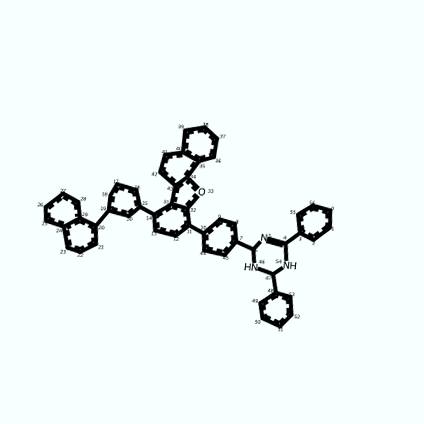 c1ccc(C2=NC(c3ccc(-c4ccc(-c5cccc(-c6cccc7ccccc67)c5)c5c4oc4c6ccccc6ccc45)cc3)NC(c3ccccc3)N2)cc1